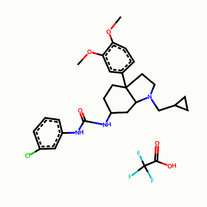 COc1ccc(C23CCC(NC(=O)Nc4cccc(Cl)c4)CC2N(CC2CC2)CC3)cc1OC.O=C(O)C(F)(F)F